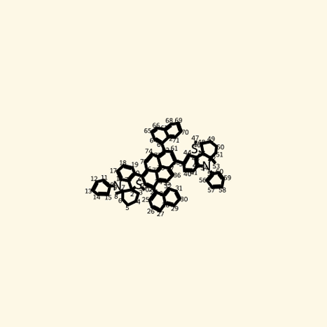 CSC12CCCCC1(C)N(c1ccccc1)c1cccc(-c3cc(-c4cccc5ccccc45)c4ccc5c(-c6ccc7c(c6)[C@@]6(SC)CCCCC6(C)N7c6ccccc6)cc(-c6cccc7ccccc67)c6ccc3c4c56)c12